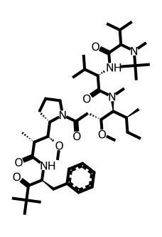 CC[C@H](C)[C@@H]([C@@H](CC(=O)N1CCC[C@H]1[C@H](OC)[C@@H](C)C(=O)N[C@@H](Cc1ccccc1)C(=O)C(C)(C)C)OC)N(C)C(=O)[C@@H](NC(=O)C(C(C)C)N(C)C(C)(C)C)C(C)C